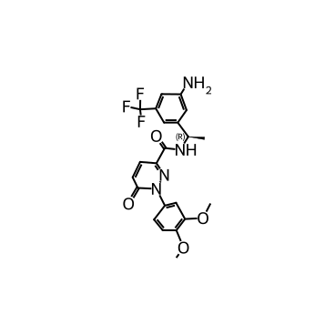 COc1ccc(-n2nc(C(=O)N[C@H](C)c3cc(N)cc(C(F)(F)F)c3)ccc2=O)cc1OC